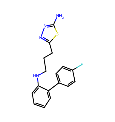 Nc1nnc(CCCNc2ccccc2-c2ccc(F)cc2)s1